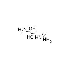 Cl.NCC(O)CCCCNC(N)=O